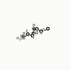 CS(=O)(=O)NCc1cc(F)cc(-c2cncc3[nH]c(-c4n[nH]c5ccc(-c6cncc(OCc7ccccc7)c6)nc45)cc23)c1